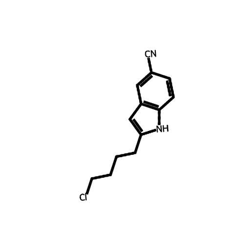 N#Cc1ccc2[nH]c(CCCCCl)cc2c1